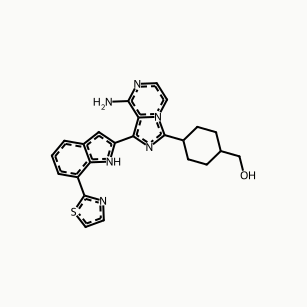 Nc1nccn2c(C3CCC(CO)CC3)nc(-c3cc4cccc(-c5nccs5)c4[nH]3)c12